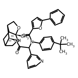 CC(C)(C)c1ccc(N(C(=O)c2ccc(-c3ccccc3)o2)C(C(=O)N[C@H]2C3CO[C@@]4(C)OCC2C4C3)c2cccnc2)cc1